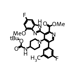 COC(=O)c1ncc(-c2cc(C)cc(F)c2)c(N2CCC(NC(=O)OC(C)(C)C)CC2)c1-c1nc2c(OC)cc(F)cc2[nH]1